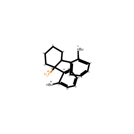 CCCCc1ccccc1C1CCCCC1(P)c1ccccc1CCCC